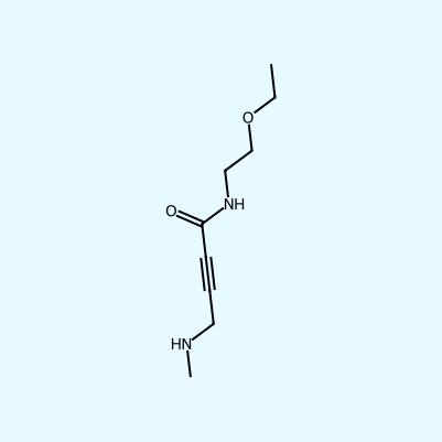 CCOCCNC(=O)C#CCNC